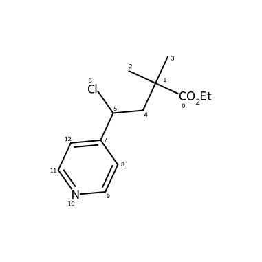 CCOC(=O)C(C)(C)CC(Cl)c1ccncc1